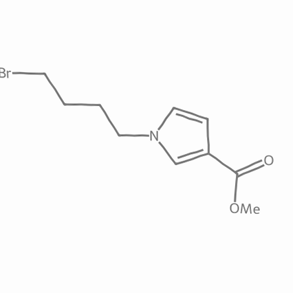 COC(=O)c1ccn(CCCCBr)c1